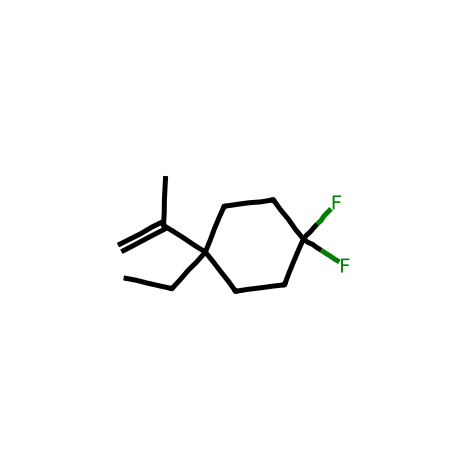 C=C(C)C1(CC)CCC(F)(F)CC1